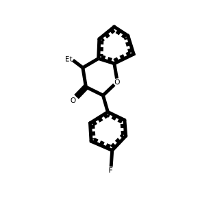 CCC1C(=O)C(c2ccc(F)cc2)Oc2ccccc21